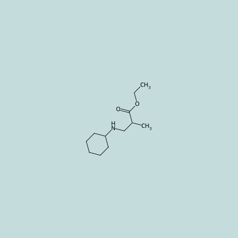 CCOC(=O)C(C)CNC1CCCCC1